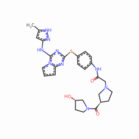 Cc1cc(Nc2nc(Sc3ccc(NC(=O)CN4CC[C@@H](C(=O)N5CC[C@@H](O)C5)C4)cc3)nc3cccn23)n[nH]1